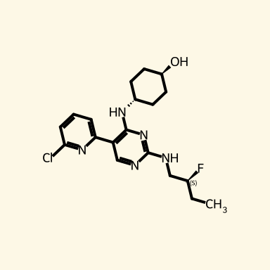 CC[C@H](F)CNc1ncc(-c2cccc(Cl)n2)c(N[C@H]2CC[C@H](O)CC2)n1